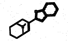 CN1C2C=C(c3cc4ccccc4o3)CC1CCC2